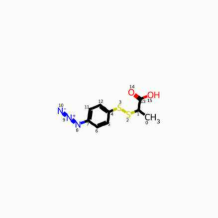 CC(SSc1ccc(N=[N+]=[N-])cc1)C(=O)O